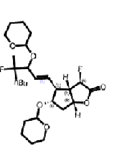 CCCCC(C)(F)C(/C=C/[C@H]1[C@H]2[C@@H](C[C@@H]1OC1CCCCO1)OC(=O)[C@@H]2F)OC1CCCCO1